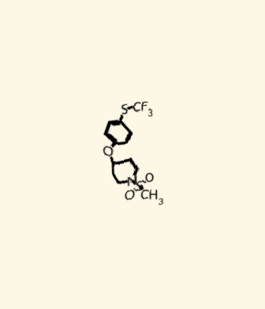 CS(=O)(=O)N1CCC(Oc2ccc(SC(F)(F)F)cc2)CC1